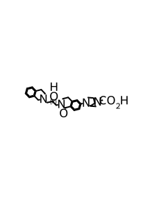 O=C1c2ccc(N3CC4CC3CN4C(=O)O)cc2CCN1C[C@H](O)CN1CCc2ccccc2C1